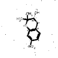 CC1(C)Oc2cc([N+](=O)[O-])ccc2C[C@H]1O